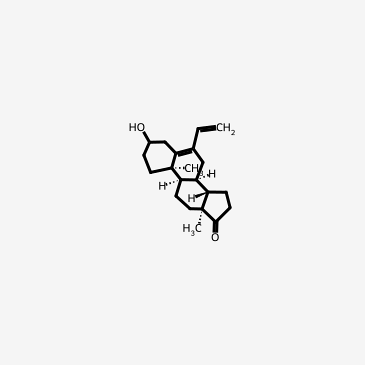 C=CC1=C2CC(O)CC[C@]2(C)[C@@H]2CC[C@]3(C)C(=O)CC[C@H]3[C@@H]2C1